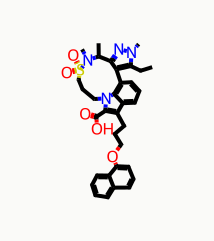 CCc1c2c(nn1C)C(C)N(C)S(=O)(=O)CCCn1c(C(=O)O)c(CCCOc3cccc4ccccc34)c3cccc-2c31